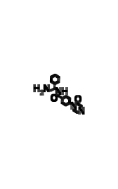 NCC(NC(=O)c1ccc(-n2ccncc2=O)cc1)c1ccccc1